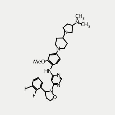 COc1cc(N2CCC(N3CCC(N(C)C)C3)CC2)ccc1Nc1cc(N2OCCC2c2cccc(F)c2F)ncn1